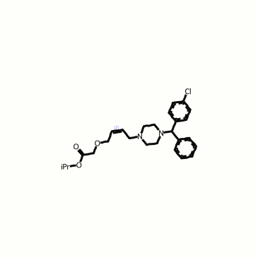 CC(C)OC(=O)COC/C=C\CN1CCN(C(c2ccccc2)c2ccc(Cl)cc2)CC1